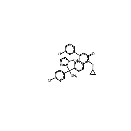 Cn1ccnc1C(N)(c1ccc(Cl)nc1)c1ccc2c(c1)c(-c1cccc(Cl)c1)cc(=O)n2CC1CC1